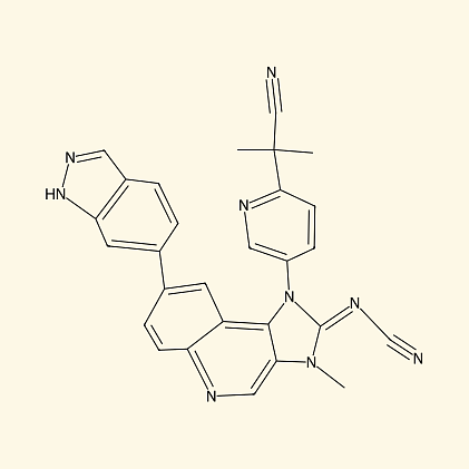 Cn1c(=NC#N)n(-c2ccc(C(C)(C)C#N)nc2)c2c3cc(-c4ccc5cn[nH]c5c4)ccc3ncc21